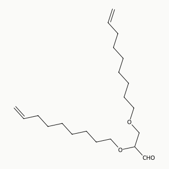 C=CCCCCCCCOCC(C=O)OCCCCCCCC=C